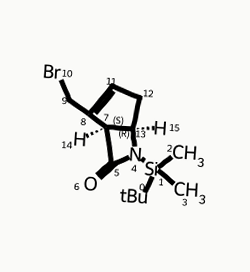 CC(C)(C)[Si](C)(C)N1C(=O)[C@H]2C(CBr)=CC[C@H]21